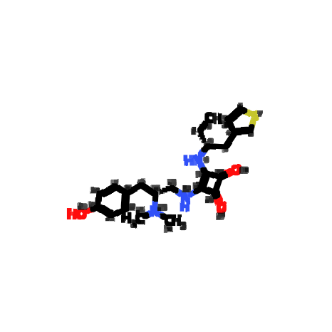 CC[C@H](Cc1ccsc1)Nc1c(NC[C@@H](Cc2ccc(O)cc2)N(C)C)c(=O)c1=O